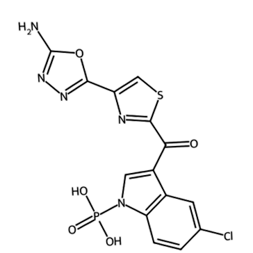 Nc1nnc(-c2csc(C(=O)c3cn(P(=O)(O)O)c4ccc(Cl)cc34)n2)o1